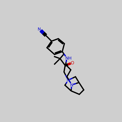 CC(C)(C)C(=O)CN1CC2CCC(C1)N2CCCNc1ccc(C#N)cc1